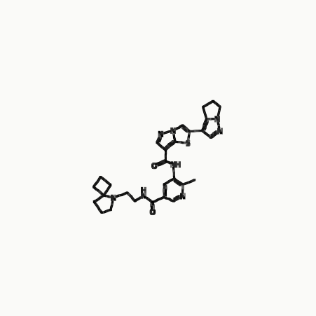 Cc1ncc(C(=O)NCCN2CCCC23CCC3)cc1NC(=O)c1cnn2cc(-c3cnn4c3CCC4)sc12